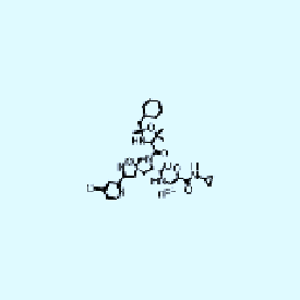 CCC[C@H](NC(=O)[C@@H]1C[C@]2(CC(c3cc(Cl)ccn3)=NO2)CN1C(=O)[C@H]1NC(C)(CC2CCCCC2)OC1(C)C)C(=O)C(=O)NC1CC1